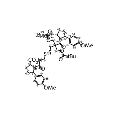 COc1ccc(C2SC[C@@H](C(=O)O)N2C(=O)CCSSCC(COC(=O)C(C)(C)C)(COC(=O)C(C)(C)C)C(=O)N2C(c3ccc(OC)cc3)SC[C@H]2C(=O)O)cc1